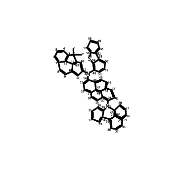 CC1(C)c2cccc3ccc4cc(N(c5ccc6ccc7c(N(c8ccccc8)c8ccccc8-c8ccccc8)ccc8ccc5c6c87)c5cccc6c5sc5ccccc56)cc1c4c23